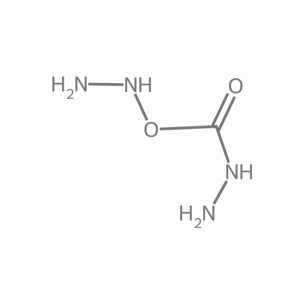 NNOC(=O)NN